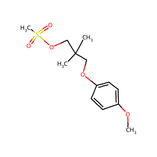 COc1ccc(OCC(C)(C)COS(C)(=O)=O)cc1